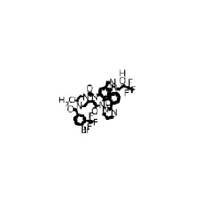 C[C@H]1Cn2c(c(C(=O)NCc3ccccc3-c3ncccn3)n(-c3ccc4c(cnn4C[C@H](O)C(F)(F)F)c3)c2=O)CN1C(=O)c1ccc(Br)c(C(F)(F)F)c1